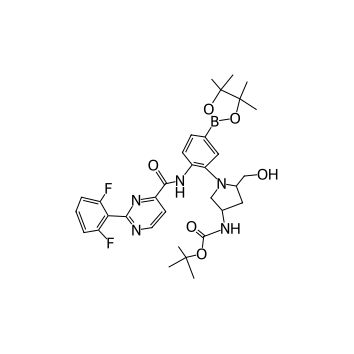 CC(C)(C)OC(=O)NC1CC(CO)N(c2cc(B3OC(C)(C)C(C)(C)O3)ccc2NC(=O)c2ccnc(-c3c(F)cccc3F)n2)C1